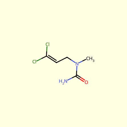 CN(CC=C(Cl)Cl)C(N)=O